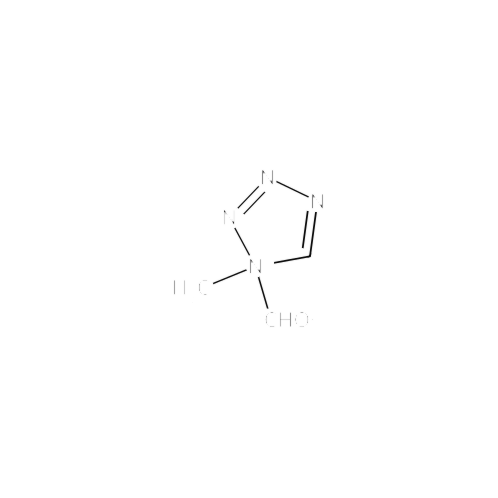 C[N+]1([C]=O)C=NN=N1